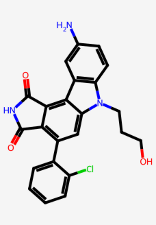 Nc1ccc2c(c1)c1c3c(c(-c4ccccc4Cl)cc1n2CCCO)C(=O)NC3=O